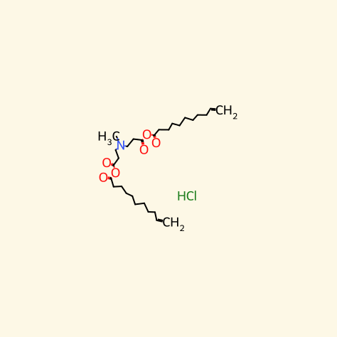 C=CCCCCCCCCC(=O)OC(=O)CCN(C)CCC(=O)OC(=O)CCCCCCCCC=C.Cl